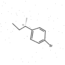 CC[C@H](C)c1ccc(Br)cc1